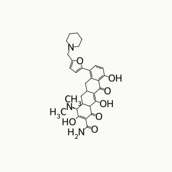 CN(C)[C@@H]1C(O)=C(C(N)=O)C(=O)C2C(O)=C3C(=O)c4c(O)ccc(-c5ccc(CN6CCCCC6)o5)c4CC3CC21